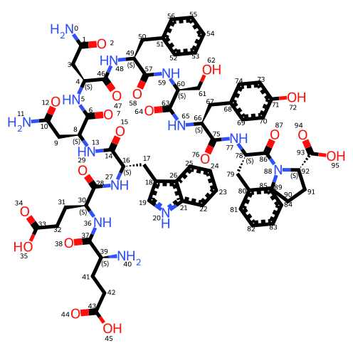 NC(=O)C[C@H](NC(=O)[C@H](CC(N)=O)NC(=O)[C@H](Cc1c[nH]c2ccccc12)NC(=O)[C@H](CCC(=O)O)NC(=O)[C@@H](N)CCC(=O)O)C(=O)N[C@@H](Cc1ccccc1)C(=O)N[C@@H](CO)C(=O)N[C@@H](Cc1ccc(O)cc1)C(=O)N[C@@H](Cc1ccccc1)C(=O)N1CCC[C@H]1C(=O)O